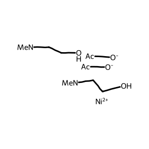 CC(=O)[O-].CC(=O)[O-].CNCCO.CNCCO.[Ni+2]